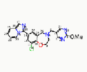 COc1ncc(CN2CCOc3c(Cl)cc(-c4ncc5ccccn45)cc3C2)cn1